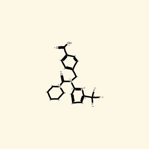 O=C(O)c1ccc(CN(C(=O)N2CCCCC2)c2cccc(C(F)(F)F)n2)cc1